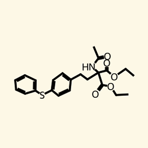 CCOC(=O)C(CCc1ccc(Sc2ccccc2)cc1)(NC(C)=O)C(=O)OCC